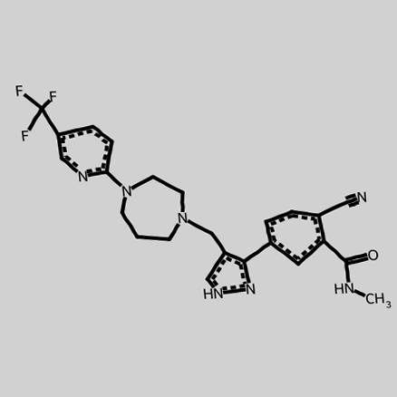 CNC(=O)c1cc(-c2n[nH]cc2CN2CCCN(c3ccc(C(F)(F)F)cn3)CC2)ccc1C#N